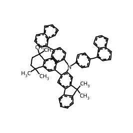 CC1(C)CCC(C)(C)c2cc(-c3cc4c(cc3N(c3ccc(-c5cccc6ccccc56)cc3)c3ccc(-c5cccc6ccccc56)cc3)C(C)(C)c3ccccc3-4)ccc21